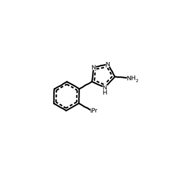 CC(C)c1ccccc1-c1nnc(N)[nH]1